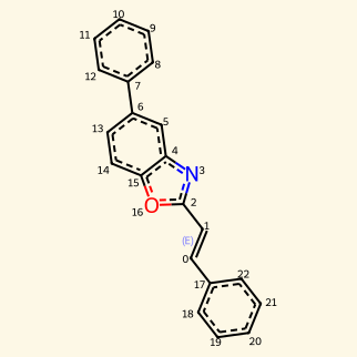 C(=C\c1nc2cc(-c3ccccc3)ccc2o1)/c1ccccc1